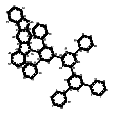 c1ccc(-c2cc(-c3ccccc3)cc(-c3nc(-c4ccccc4)nc(-c4cc(-c5ccccc5)c(-n5c6ccccc6c6cc7c(cc65)sc5ccccc57)c(-c5ccccc5)c4)n3)c2)cc1